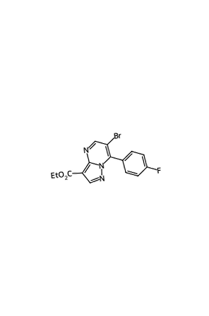 CCOC(=O)c1cnn2c(-c3ccc(F)cc3)c(Br)cnc12